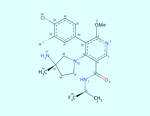 COc1ncc(C(=O)N[C@@H](C)C(F)(F)F)c(N2CC[C@](C)(N)C2)c1-c1ccc(Cl)c(F)c1